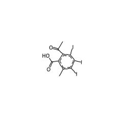 CC(=O)c1c(I)c(I)c(I)c(C)c1C(=O)O